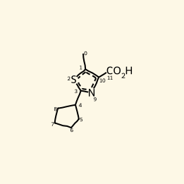 Cc1sc(C2CCCC2)nc1C(=O)O